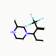 C=C(C(CC)N1CCNC(C)C1)C(F)(F)F